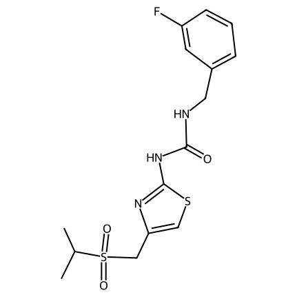 CC(C)S(=O)(=O)Cc1csc(NC(=O)NCc2cccc(F)c2)n1